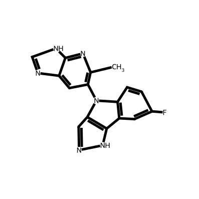 Cc1nc2[nH]cnc2cc1-n1c2ccc(F)cc2c2[nH]ncc21